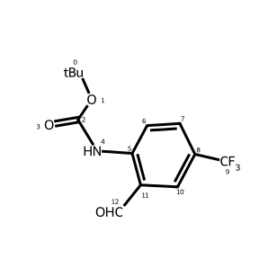 CC(C)(C)OC(=O)Nc1ccc(C(F)(F)F)cc1C=O